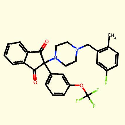 Cc1ccc(F)cc1CN1CCN(C2(c3cccc(OC(F)(F)F)c3)C(=O)c3ccccc3C2=O)CC1